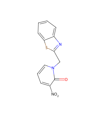 O=c1c([N+](=O)[O-])cccn1Cc1nc2ccccc2s1